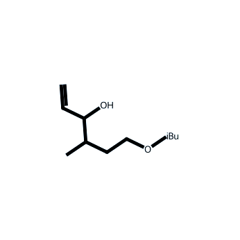 C=CC(O)C(C)CCOC(C)CC